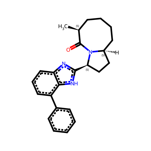 C[C@H]1CCCC[C@H]2CC[C@@H](c3nc4cccc(-c5ccccc5)c4[nH]3)N2C1=O